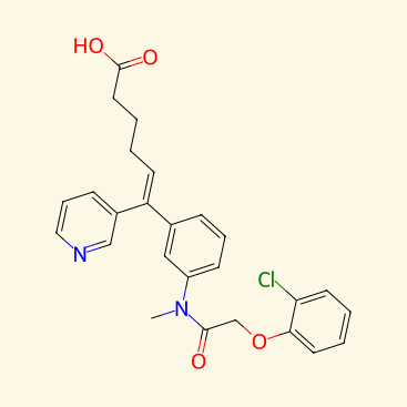 CN(C(=O)COc1ccccc1Cl)c1cccc(C(=CCCCC(=O)O)c2cccnc2)c1